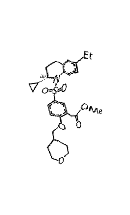 CCc1ccc2c(c1)CC[C@@H](C1CC1)N2S(=O)(=O)c1ccc(OCC2CCOCC2)c(C(=O)OC)c1